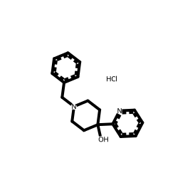 Cl.OC1(c2ccccn2)CCN(Cc2ccccc2)CC1